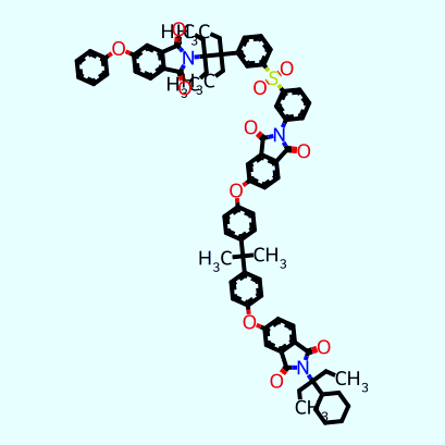 CCC(CC)(C1CCCCC1)N1C(=O)c2ccc(Oc3ccc(C(C)(C)c4ccc(Oc5ccc6c(c5)C(=O)N(c5cccc(S(=O)(=O)c7cccc(C(CC)(CC)C(CC)(CC)N8C(=O)c9ccc(Oc%10ccccc%10)cc9C8=O)c7)c5)C6=O)cc4)cc3)cc2C1=O